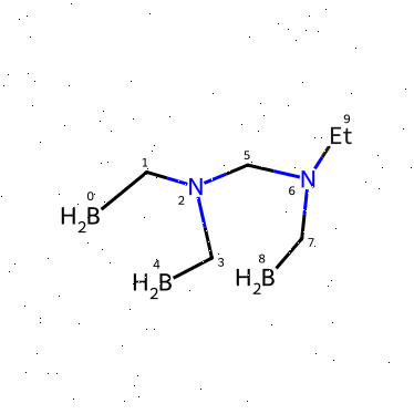 BCN(CB)CN(CB)CC